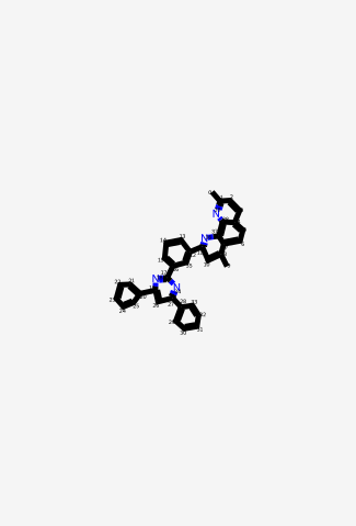 Cc1ccc2ccc3c(C)cc(-c4cccc(-c5nc(-c6ccccc6)cc(-c6ccccc6)n5)c4)nc3c2n1